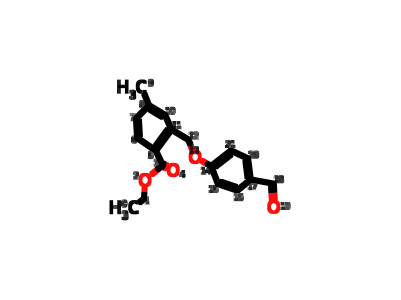 CCOC(=O)c1ccc(C)cc1COc1ccc(C=O)cc1